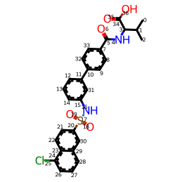 CC(C)C(NC(=O)c1ccc(-c2cccc(NS(=O)(=O)c3ccc4c(Cl)cccc4c3)c2)cc1)C(=O)O